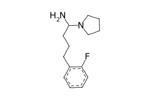 NC(CCCc1ccccc1F)N1CCCC1